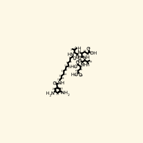 CC(C)C(NC(=O)CCCCCCCCCCCNC(=O)c1cc(N)cc(N)c1)C(=O)NC(CCC(=O)O)C(=O)NC(C(=O)NC(CCC(=O)O)C(=O)O)C(C)C